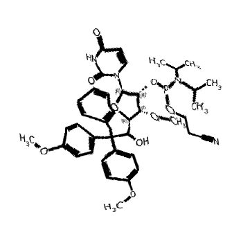 COc1ccc(C(c2ccccc2)(c2ccc(OC)cc2)C(O)[C@H]2O[C@@H](n3ccc(=O)[nH]c3=O)[C@H](OP(OCCC#N)N(C(C)C)C(C)C)[C@@H]2OC)cc1